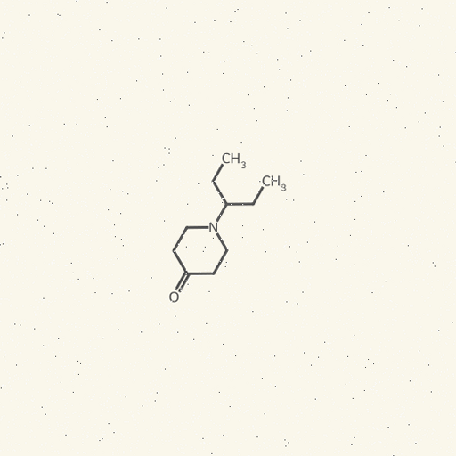 CCC(CC)N1CCC(=O)CC1